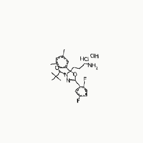 Cc1cc(C)cc(C2(CCCN)OC(c3cc(F)ccc3F)=NN2C(=O)C(C)(C)C)c1.Cl.Cl